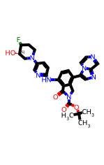 CC(C)(C)OC(=O)N1Cc2c(-c3cnc4cnccn34)ccc(Nc3ccc(N4CCC(F)[C@@H](O)C4)cn3)c2C1=O